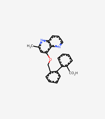 Cc1cc(OCc2ccccc2-c2ccccc2C(=O)O)c2ncccc2n1